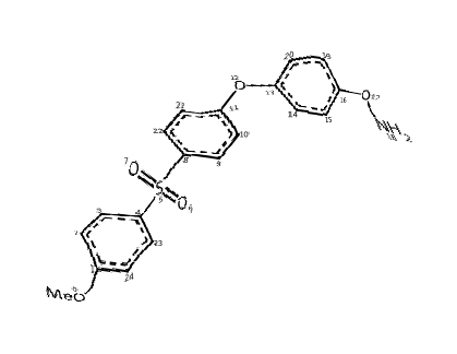 COc1ccc(S(=O)(=O)c2ccc(Oc3ccc(ON)cc3)cc2)cc1